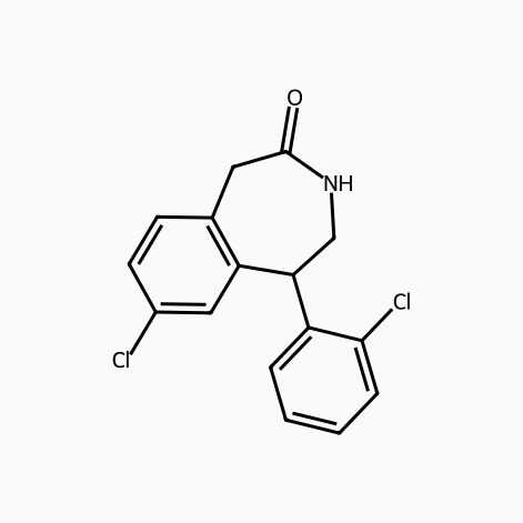 O=C1Cc2ccc(Cl)cc2C(c2ccccc2Cl)CN1